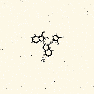 CC1=CC[C]([Ti+2][CH]2C(n3c(C)c(C)c4ccccc43)=Cc3ccccc32)=C1C.[Cl-].[Cl-]